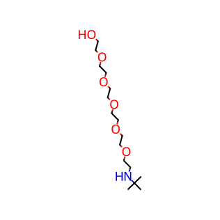 CC(C)(C)NCCOCCOCCOCCOCCOCCO